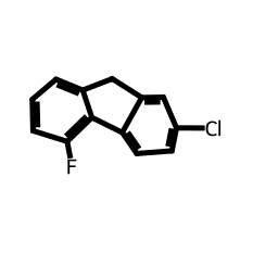 Fc1cccc2c1-c1ccc(Cl)cc1C2